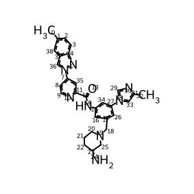 Cc1ccc2nn(-c3ccnc(C(=O)Nc4cc(CN5CCC[C@H](N)C5)cc(-n5cnc(C)c5)c4)c3)cc2c1